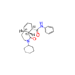 O=C(Nc1ccccc1)[C@H]1CC=C[C@H]2CCN(C3CCCCC3)C(=O)[C@@H]12